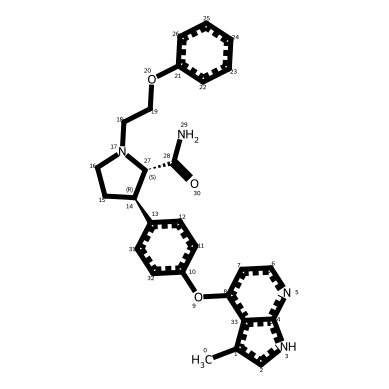 Cc1c[nH]c2nccc(Oc3ccc([C@H]4CCN(CCOc5ccccc5)[C@@H]4C(N)=O)cc3)c12